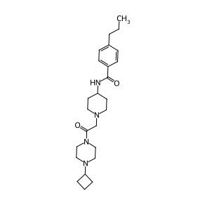 CCCc1ccc(C(=O)NC2CCN(CC(=O)N3CCN(C4CCC4)CC3)CC2)cc1